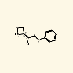 O[C@H](CSc1ccccc1)[C@@H]1CCN1